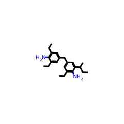 CCc1cc(Cc2cc(CC)c(N)c(C(C)CC)c2)cc(CC)c1N